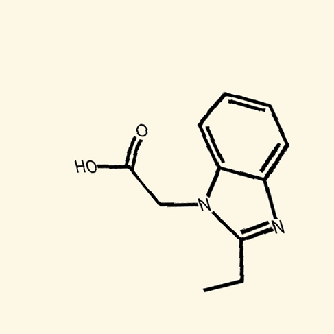 CCc1nc2ccccc2n1CC(=O)O